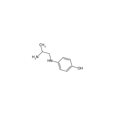 CC(N)CNc1ccc(O)cc1